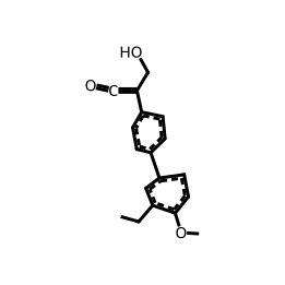 CCc1cc(-c2ccc(C(=C=O)CO)cc2)ccc1OC